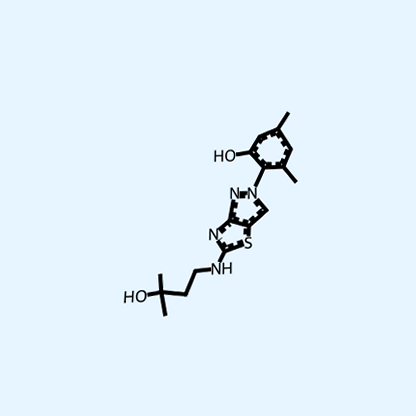 Cc1cc(C)c(-n2cc3sc(NCCC(C)(C)O)nc3n2)c(O)c1